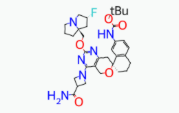 CC(C)(C)OC(=O)Nc1ccc2c(c1)[C@]1(CCC2)Cc2nc(OC[C@@]34CCCN3C[C@H](F)C4)nc(N3CC(C(N)=O)C3)c2CO1